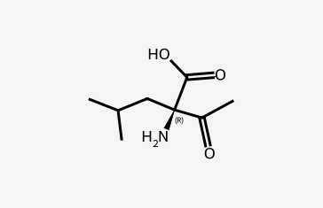 CC(=O)[C@](N)(CC(C)C)C(=O)O